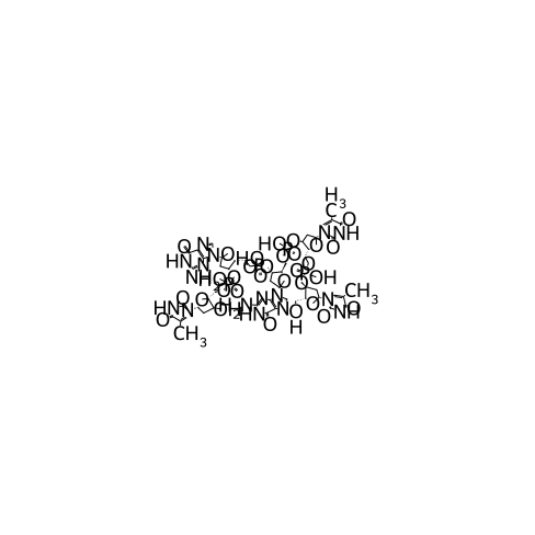 Cc1cn([C@H]2C[C@H](OP(=O)(O)OC[C@H]3O[C@@H](n4cc(C)c(=O)[nH]c4=O)C[C@@H]3OP(=O)(O)OC[C@H]3O[C@@H](n4cnc5c(=O)[nH]c(N)nc54)C[C@@H]3OP(=O)(O)OC[C@H]3O[C@@H](n4cnc5c(=O)[nH]c(N)nc54)C[C@@H]3OP(=O)(O)OC[C@H]3O[C@@H](n4cc(C)c(=O)[nH]c4=O)C[C@@H]3O)[C@@H](CO)O2)c(=O)[nH]c1=O